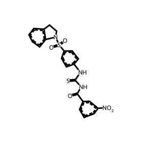 O=C(NC(=S)Nc1ccc(S(=O)(=O)N2CCc3ccccc32)cc1)c1cccc([N+](=O)[O-])c1